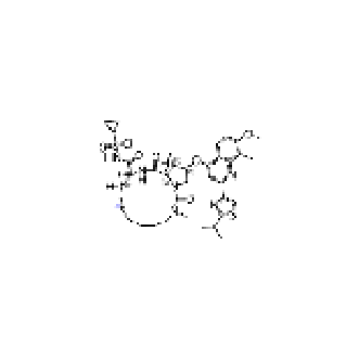 COc1ccc2c(O[C@H]3CN4C(=O)N(C)CCCC/C=C\[C@H]5C[C@]5(C(=O)NS(=O)(=O)C5CC5)NC(=O)[C@@H]4[C@H]3C)cc(-c3csc(C(C)C)n3)nc2c1C